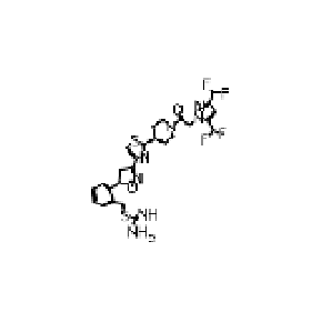 N=C(N)SCc1ccccc1C1CC(c2csc(C3CCN(C(=O)Cn4nc(C(F)F)cc4C(F)F)CC3)n2)=NO1